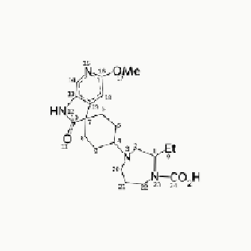 CCC1CN(C2CCC3(CC2)C(=O)Nc2cnc(OC)cc23)CCCN1C(=O)O